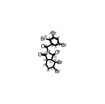 O=C(c1cc(Br)cc(Br)c1Br)N1C(=O)C2CCC(Br)C(Br)C2C1=O